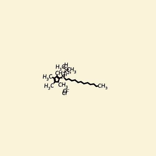 CCCCCCCCCCCC[N]([Ti+2][SiH](C)C)C1=C(C)C(C)=C(C)C1C.[Cl-].[Cl-]